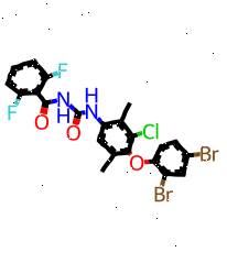 Cc1cc(NC(=O)NC(=O)c2c(F)cccc2F)c(C)c(Cl)c1Oc1ccc(Br)cc1Br